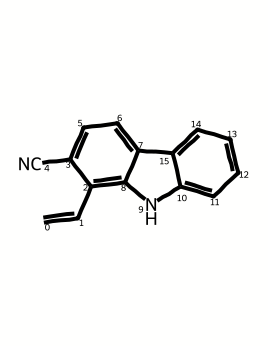 C=Cc1c(C#N)ccc2c1[nH]c1ccccc12